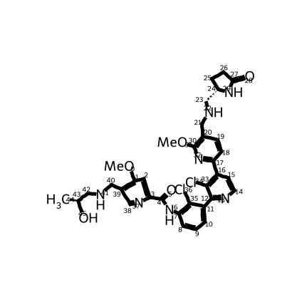 COc1cc(C(=O)Nc2cccc(-c3nccc(-c4ccc(CNC[C@@H]5CCC(=O)N5)c(OC)n4)c3Cl)c2Cl)ncc1CNC[C@H](C)O